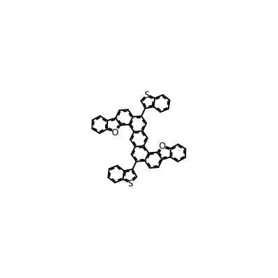 c1ccc2c(c1)oc1c2ccc2c(-c3csc4ccccc34)cc3cc4c(cc(-c5csc6ccccc56)c5ccc6c7ccccc7oc6c54)cc3c21